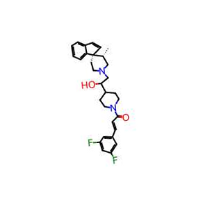 C[C@@H]1CN(CC(O)C2CCN(C(=O)/C=C/c3cc(F)cc(F)c3)CC2)CC[C@]12C=Cc1ccccc12